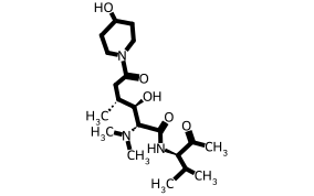 CC(=O)[C@H](NC(=O)[C@@H]([C@H](O)[C@H](C)CC(=O)N1CCC(O)CC1)N(C)C)C(C)C